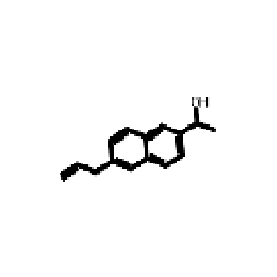 C=CCc1ccc2cc(C(C)O)ccc2c1